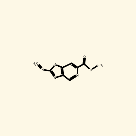 C=Nc1nc2cnc(C(=O)OC)cc2s1